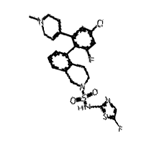 CN1CC=C(c2cc(Cl)cc(F)c2-c2cccc3c2CCN(S(=O)(=O)Nc2ncc(F)s2)C3)CC1